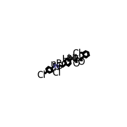 CCC/C(=N\OCc1ccc(NC(=O)NC(=O)c2ccccc2Cl)cc1)c1ccc(Cl)cc1Cl